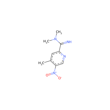 Cc1cc(C(=N)N(C)C)ncc1[N+](=O)[O-]